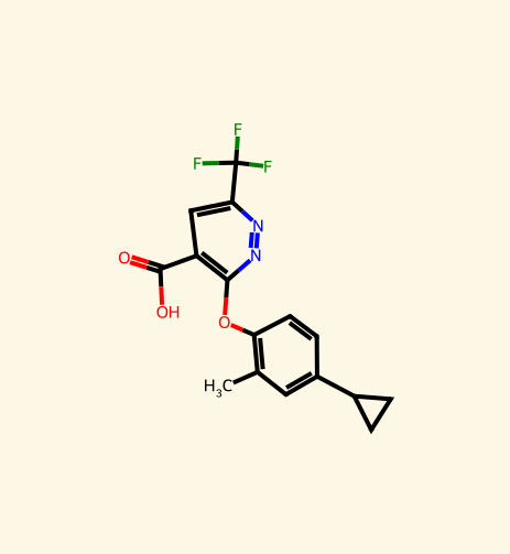 Cc1cc(C2CC2)ccc1Oc1nnc(C(F)(F)F)cc1C(=O)O